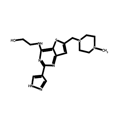 CN1CCN(Cc2cc3nc(-c4cn[nH]c4)nc(NCCO)c3s2)CC1